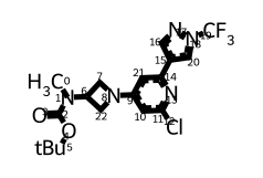 CN(C(=O)OC(C)(C)C)C1CN(c2cc(Cl)nc(-c3cnn(C(F)(F)F)c3)c2)C1